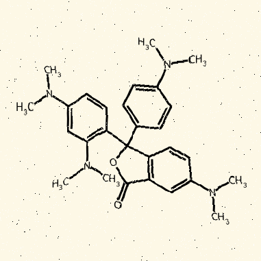 CN(C)c1ccc(C2(c3ccc(N(C)C)cc3N(C)C)OC(=O)c3cc(N(C)C)ccc32)cc1